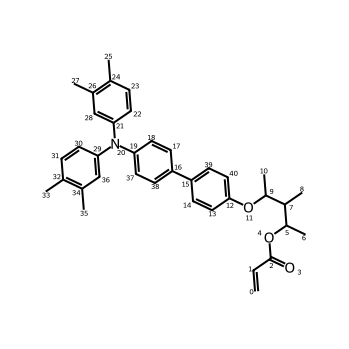 C=CC(=O)OC(C)C(C)C(C)Oc1ccc(-c2ccc(N(c3ccc(C)c(C)c3)c3ccc(C)c(C)c3)cc2)cc1